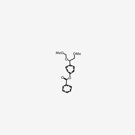 COCOC(COC)c1ccc(OC(=O)c2ccccc2)cc1